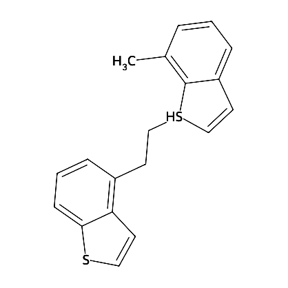 Cc1cccc2c1[SH](CCc1cccc3sccc13)C=C2